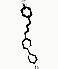 CCC[C@H]1CC[C@H]([C@H]2CC[C@H](CCCCc3ccc(C(F)(F)F)cc3)CC2)CC1